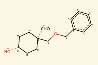 O=C[C@]1(COCc2ccccc2)CC[C@H](O)CC1